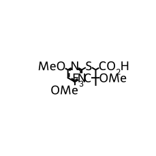 COc1cc(OC)nc(SC(C(=O)O)C(C)(OC)C(F)(F)F)n1